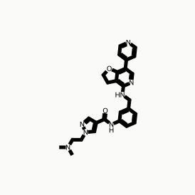 CN(C)CCn1cc(C(=O)Nc2cccc(CNc3ncc(-c4ccncc4)c4c3CCO4)c2)cn1